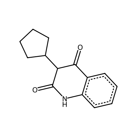 O=C1Nc2ccccc2C(=O)C1C1CCCC1